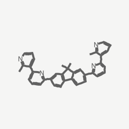 Cc1ncccc1-c1cccc(-c2ccc3c(c2)C(C)(C)c2cc(-c4cccc(-c5cccnc5C)n4)ccc2-3)n1